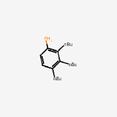 CCCCc1ccc(P)c(CCCC)c1CCCC